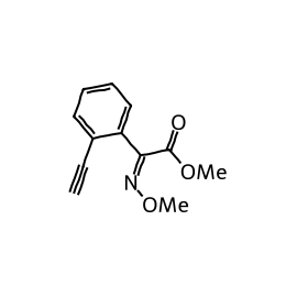 C#Cc1ccccc1C(=NOC)C(=O)OC